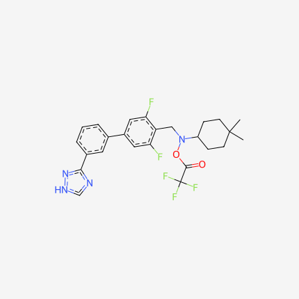 CC1(C)CCC(N(Cc2c(F)cc(-c3cccc(-c4nc[nH]n4)c3)cc2F)OC(=O)C(F)(F)F)CC1